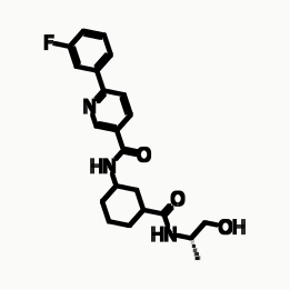 C[C@@H](CO)NC(=O)C1CCCC(NC(=O)c2ccc(-c3cccc(F)c3)nc2)C1